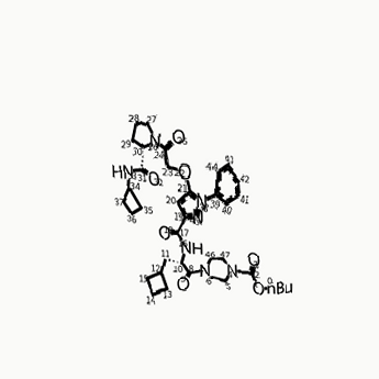 CCCCOC(=O)N1CCN(C(=O)[C@H](CC2CCC2)NC(=O)c2cc(OCC(=O)N3CCC[C@H]3C(=O)NC3CCC3)n(-c3ccccc3)n2)CC1